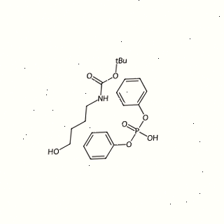 CC(C)(C)OC(=O)NCCCCO.O=P(O)(Oc1ccccc1)Oc1ccccc1